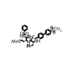 CSCC[C@H](NC(=O)[C@H](CC(C)C)N[C@@H](c1ccc(-c2ccc(S(C)(=O)=O)cc2)cc1)C(F)(F)F)C(=O)NS(=O)(=O)c1ccccc1